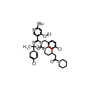 CCOc1cc(C(C)(C)C)ncc1/C(=N/C(C)(C)C1C=CC(Cl)=CC1)N(Cc1ccc(Cl)cc1)C(=O)N1CCC(CC(=O)N2CCCCC2)CC1